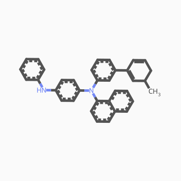 CC1C=C(c2cccc(N(c3ccc(Nc4ccccc4)cc3)c3cccc4ccccc34)c2)C=CC1